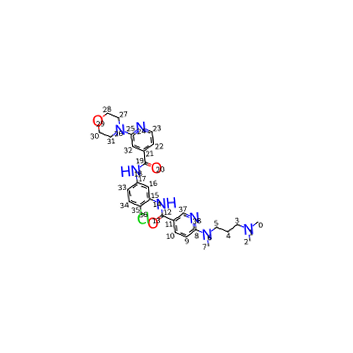 CN(C)CCCN(C)c1ccc(C(=O)Nc2cc(NC(=O)c3ccnc(N4CCOCC4)c3)ccc2Cl)cn1